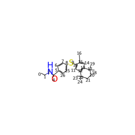 CCNC(=O)c1ccc(Sc2cc3c(cc2C)C(C)(C)CCC3(C)C)cc1